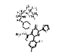 COC(=O)C1=C([C@H]2CC[C@H](NS(C)(=O)=N[Si](C)(C)C(C)(C)C)CC2)NC(c2nccs2)=NC1c1ccc(F)cc1Cl